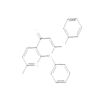 Cc1ccc2c(=O)cc(Oc3ccccc3)n(-c3ccccc3)c2n1